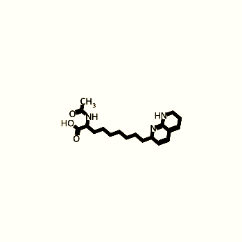 CC(=O)NC(CCCCCCCC1C=CC2=CCCNC2=N1)C(=O)O